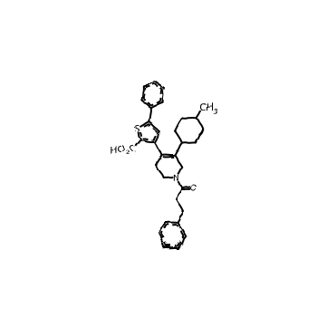 CC1CCC(C2=C(c3cc(-c4ccccc4)sc3C(=O)O)CCN(C(=O)CCc3ccccc3)C2)CC1